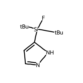 CC(C)(C)[Si](F)(c1ccn[nH]1)C(C)(C)C